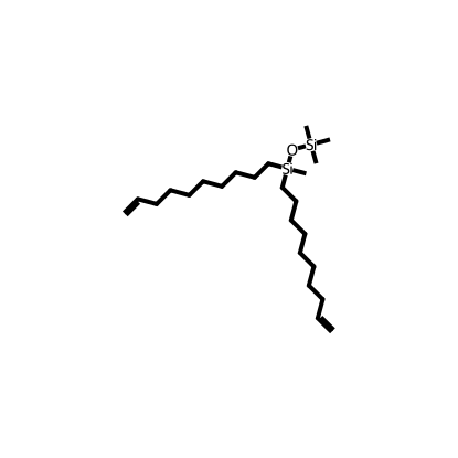 C=CCCCCCCCC[Si](C)(CCCCCCCCC=C)O[Si](C)(C)C